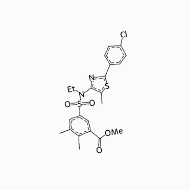 CCN(c1nc(-c2ccc(Cl)cc2)sc1C)S(=O)(=O)c1cc(C)c(C)c(C(=O)OC)c1